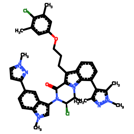 Cc1cc(OCCCc2c3n(c4c(-c5c(C)nn(C)c5C)cccc24)C(C)[C@@H](Cl)N(c2cn(C)c4ccc(-c5ccn(C)n5)cc24)C3=O)cc(C)c1Cl